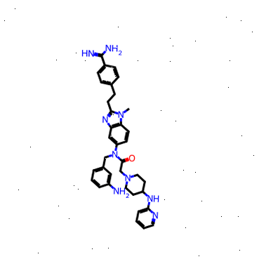 Cn1c(CCc2ccc(C(=N)N)cc2)nc2cc(N(Cc3cccc(N)c3)C(=O)CN3CCC(Nc4ccccn4)CC3)ccc21